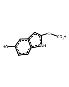 O=C(O)Oc1cc2cc(O)ccc2[nH]1